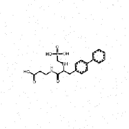 O=C(O)CCNC(=O)C(Cc1ccc(-c2ccccc2)cc1)NCP(=O)(O)O